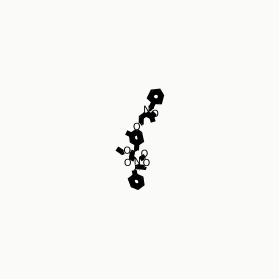 CCO[C@@H](Cc1ccc(OCCc2nc(-c3ccccc3)oc2C)c(C)c1)C(=O)N1C(=O)OC[C@@H]1Cc1ccccc1